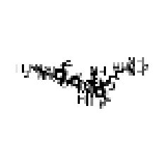 N=C(N)NCCCCC(=O)Nc1cc(CF)cc(NC(=O)Nc2cccc(Oc3cc(CF)cc(NCCCN)c3)c2)c1SCCN